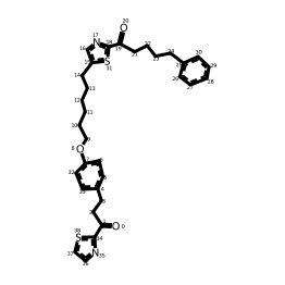 O=C(CCc1ccc(OCCCCCCc2cnc(C(=O)CCCCc3ccccc3)s2)cc1)c1nccs1